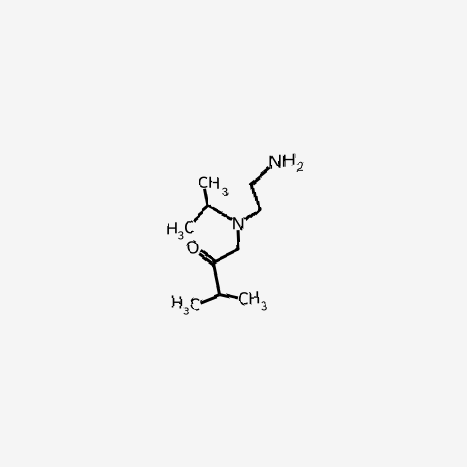 CC(C)C(=O)CN(CCN)C(C)C